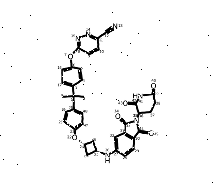 CC(C)(c1ccc(Oc2ccc(C#N)nn2)cc1)c1ccc(O[C@H]2C[C@H](Nc3ccc4c(c3)C(=O)N(C3CCC(=O)NC3=O)C4=O)C2)cc1